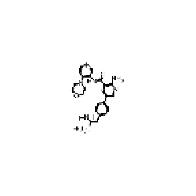 Nc1ncc(-c2ccc(CC(NI)C(=O)O)cc2)nc1C(=O)Nc1cnccc1N1CCOCC1